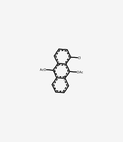 CC(=O)Oc1c2ccccc2c(OC(C)=O)c2c(Cl)cccc12